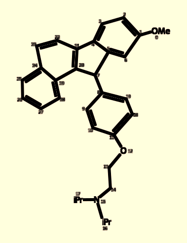 COc1ccc2c(c1)C(c1ccc(OCCN(C(C)C)C(C)C)cc1)c1c-2ccc2ccccc12